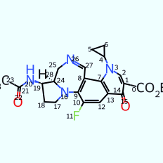 CCOC(=O)c1cn(C2CC2)c2c3c(c(F)cc2c1=O)N1CC[C@@H](NC(=O)C(F)(F)F)[C@H]1CN=C3